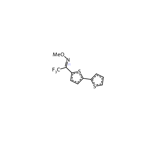 CO/N=C(/c1ccc(-c2cccs2)s1)C(F)(F)F